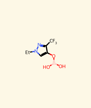 CCn1cc(OB(O)O)c(C(F)(F)F)n1